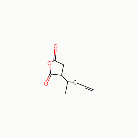 C=CCC(C)C1CC(=O)OC1=O